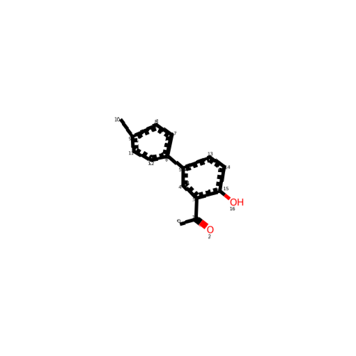 CC(=O)c1cc(-c2ccc(C)cc2)ccc1O